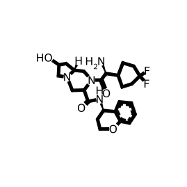 N[C@H](C(=O)N1C[C@H]2CC(O)CN2CC1C(=O)N[C@@H]1CCOc2ccccc21)C1CCC(F)(F)CC1